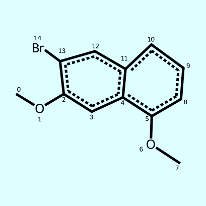 COc1cc2c(OC)cccc2cc1Br